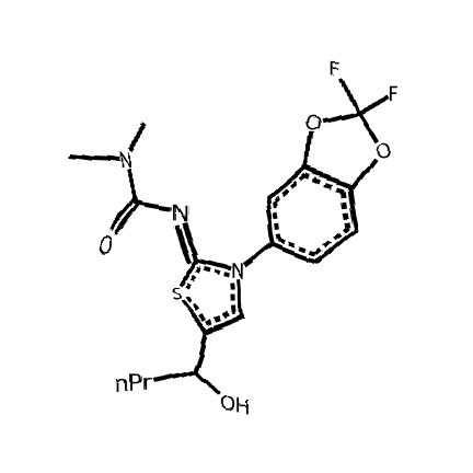 CCCC(O)c1cn(-c2ccc3c(c2)OC(F)(F)O3)/c(=N/C(=O)N(C)C)s1